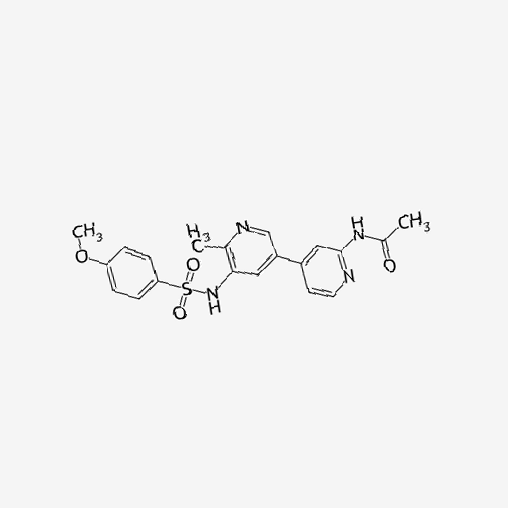 COc1ccc(S(=O)(=O)Nc2cc(-c3ccnc(NC(C)=O)c3)cnc2C)cc1